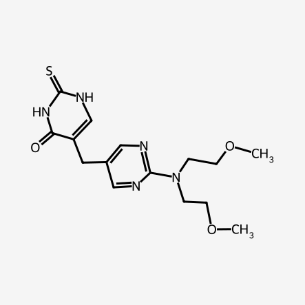 COCCN(CCOC)c1ncc(Cc2c[nH]c(=S)[nH]c2=O)cn1